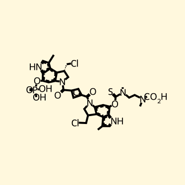 Cc1c[nH]c2c(OC(=S)N(C)CCN(C)C(=O)O)cc3c(c12)C(CCl)CN3C(=O)C12CC(C(=O)N3C[C@@H](CCl)c4c3cc(OP(=O)(O)O)c3[nH]cc(C)c43)(C1)C2